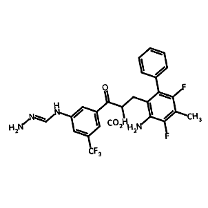 Cc1c(F)c(N)c(CC(C(=O)O)C(=O)c2cc(NC=NN)cc(C(F)(F)F)c2)c(-c2ccccc2)c1F